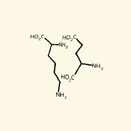 NC(CCC(=O)O)C(=O)O.NCCCCC(N)C(=O)O